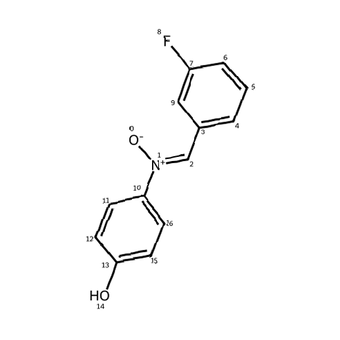 [O-][N+](=Cc1cccc(F)c1)c1ccc(O)cc1